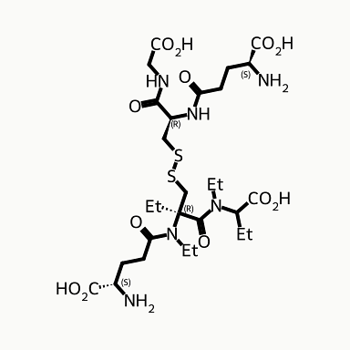 CCC(C(=O)O)N(CC)C(=O)[C@](CC)(CSSC[C@H](NC(=O)CC[C@H](N)C(=O)O)C(=O)NCC(=O)O)N(CC)C(=O)CC[C@H](N)C(=O)O